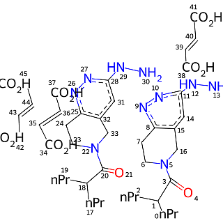 CCCC(CCC)C(=O)N1CCc2nnc(NN)cc2C1.CCCC(CCC)C(=O)N1CCc2nnc(NN)cc2C1.O=C(O)/C=C/C(=O)O.O=C(O)/C=C/C(=O)O.O=C(O)/C=C/C(=O)O